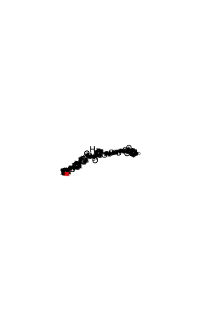 Cc1ccc(S(=O)(=O)OCCOCCOCCOc2cccc(C(=O)NCC(=O)N3CCN(c4ccc(OCc5ccccc5)cc4)CC3)c2)cc1